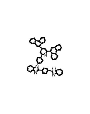 c1ccc2c(c1)cc(-c1cc(-c3ccc(-n4c(-c5ccc(-c6nc7ccccc7o6)cc5)nc5ccccc54)cc3)nc(-c3cc4ccccc4c4ccccc34)c1)c1ccccc12